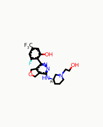 OCCN1CCC[C@@H](Nc2nnc(-c3c(O)cc(C(F)(F)F)cc3F)c3c2COC3)C1